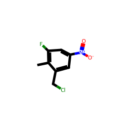 Cc1c(F)cc([N+](=O)[O-])cc1CCl